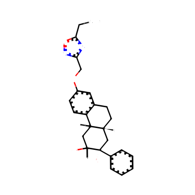 CCC12CC(C)(O)[C@](O)(c3ccccc3)C[C@H]1CCc1cc(OCc3noc(CNC(C)=O)n3)ccc12